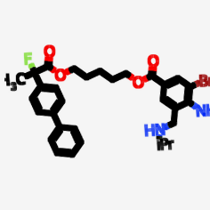 CC(C)NCc1cc(C(=O)OCCCCCOC(=O)C(C)(F)c2ccc(-c3ccccc3)cc2)cc(Br)c1N